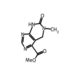 COC(=O)c1ncnc2c1CN(C)C(=O)N2